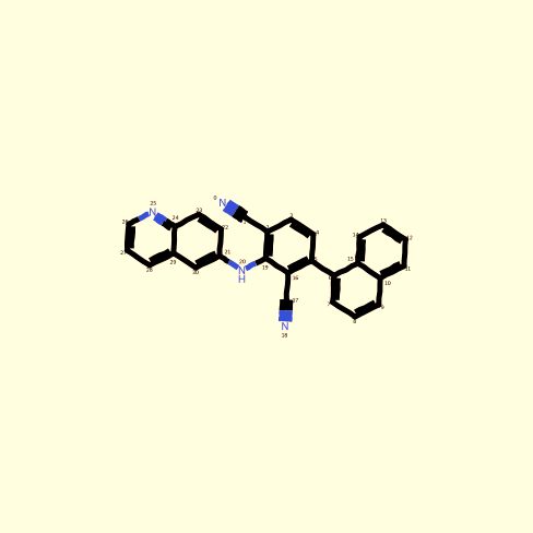 N#Cc1ccc(-c2cccc3ccccc23)c(C#N)c1Nc1ccc2ncccc2c1